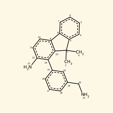 CC1(C)c2ccccc2-c2ccc(N)c(-c3cccc(CN)c3)c21